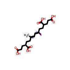 C/C(=C\C=C(/I)CCC(CCC(=O)O)C(=O)O)CCC(CCC(=O)O)C(=O)O